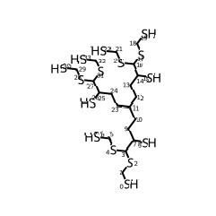 SCSC(SCS)C(S)CCC(CCC(S)C(SCS)SCS)CCC(S)C(SCS)SCS